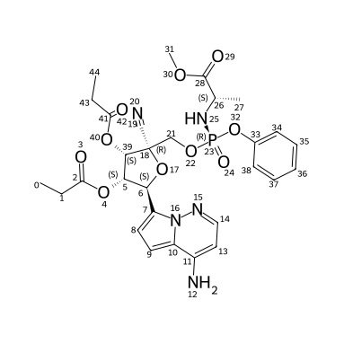 CCC(=O)O[C@H]1[C@H](c2ccc3c(N)ccnn23)O[C@](C#N)(CO[P@](=O)(N[C@@H](C)C(=O)OC)Oc2ccccc2)[C@H]1OC(=O)CC